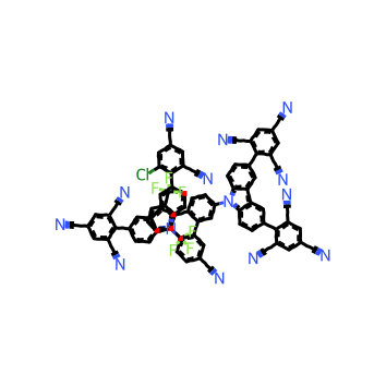 N#Cc1cc(Cl)c(-c2ccc3c(c2)c2cc(-c4c(C#N)cc(C#N)cc4C#N)ccc2n3-c2ccc(C#N)cc2-c2cc(-n3c4ccc(-c5c(C#N)cc(C#N)cc5C#N)cc4c4cc(-c5c(C#N)cc(C#N)cc5C#N)ccc43)ccc2-c2c(C(F)(F)F)cccc2C(F)(F)F)c(C#N)c1